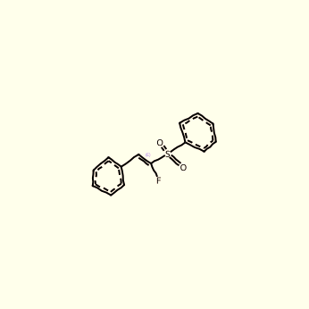 O=S(=O)(/C(F)=C/c1ccccc1)c1ccccc1